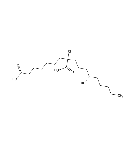 CCCCC[C@H](O)CCCC(Cl)(CCCCCCC(=O)O)C(C)=O